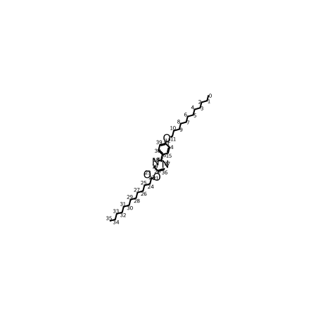 CCCCCCCCCCCCOc1ccc(-c2ncc(OC(=O)CCCCCCCCCCCC)cn2)cc1